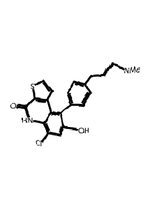 CNCCCc1ccc(-c2c(O)cc(Cl)c3[nH]c(=O)c4sccc4c23)cc1